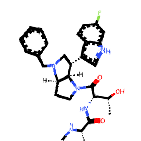 CN[C@@H](C)C(=O)N[C@H](C(=O)N1CC[C@@H]2[C@H]1[C@@H](c1c[nH]c3cc(F)ccc13)CN2Cc1ccccc1)[C@@H](C)O